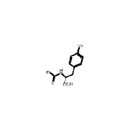 CCC(=O)N[C@H](Cc1ccc(C#N)cc1)C(=O)O